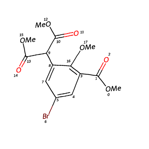 COC(=O)c1cc(Br)cc(C(C(=O)OC)C(=O)OC)c1OC